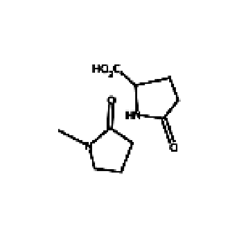 CN1CCCC1=O.O=C1CCC(C(=O)O)N1